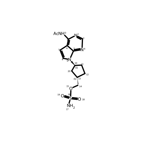 CC(=O)Nc1ncnc2c1ccn2[C@H]1CC[C@H](COS(N)(=O)=O)C1